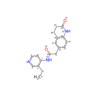 CCc1cnccc1NC(=O)Cc1ccc2c(c1)CCC(=O)N2